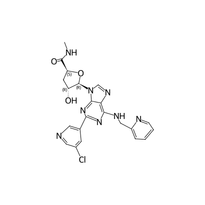 CNC(=O)[C@@H]1C[C@@H](O)[C@H](n2cnc3c(NCc4ccccn4)nc(-c4cncc(Cl)c4)nc32)O1